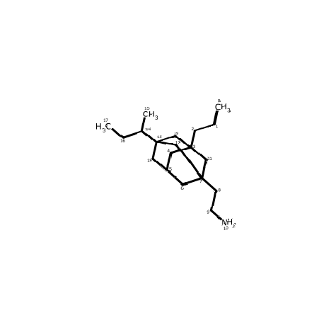 CCCC12CC3CC(CCN)(C1)CC(C(C)CC)(C3)C2